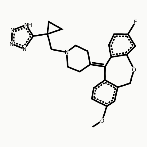 COc1ccc2c(c1)COc1cc(F)ccc1C2=C1CCN(CC2(c3nnn[nH]3)CC2)CC1